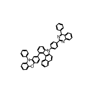 c1ccc(-c2nc(-c3ccc(-n4c5cccc(-c6ccc7c(c6)N(c6ccccc6)c6ccccc6O7)c5c5c6ccccc6ccc54)cc3)nc3ccccc23)cc1